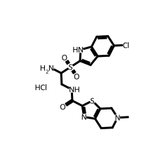 CN1CCc2nc(C(=O)NCC(N)S(=O)(=O)c3cc4cc(Cl)ccc4[nH]3)sc2C1.Cl